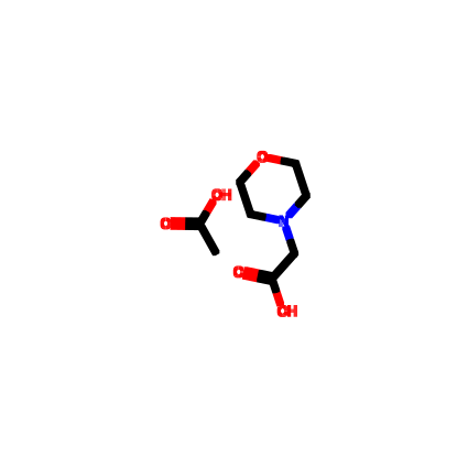 CC(=O)O.O=C(O)CN1CCOCC1